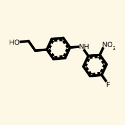 O=[N+]([O-])c1cc(F)ccc1Nc1ccc(CCO)cc1